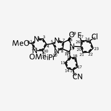 COc1ncc(-c2nc3c(n2C(C)C)[C@H](c2ccc(C#N)cc2)N(c2cccc(Cl)c2F)C3=O)c(OC)n1